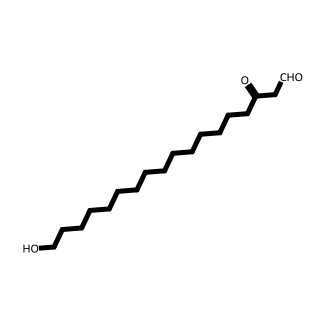 O=CCC(=O)CCCCCCCCCCCCCCCO